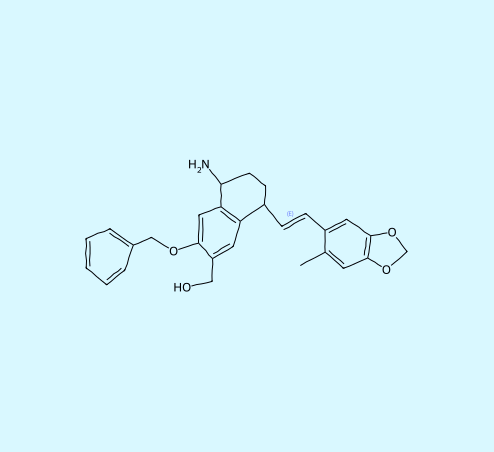 Cc1cc2c(cc1/C=C/C1CCC(N)c3cc(OCc4ccccc4)c(CO)cc31)OCO2